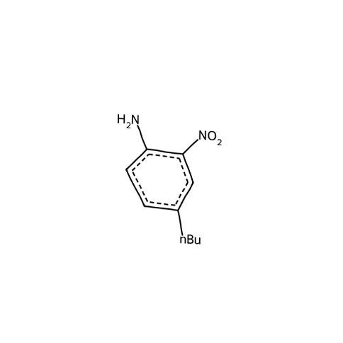 CCCCc1ccc(N)c([N+](=O)[O-])c1